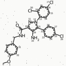 COc1ccc(CNC(=O)c2nn(-c3ccc(Cl)cc3Cl)c(-c3ccc(Cl)cc3)c2N)cc1